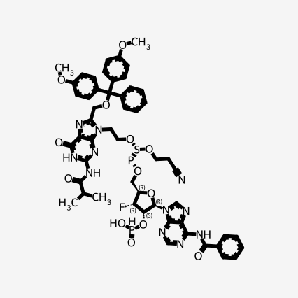 COc1ccc(C(OCc2nc3c(=O)[nH]c(NC(=O)C(C)C)nc3n2CCOS(OCCC#N)=POC[C@H]2O[C@@H](n3cnc4c(NC(=O)c5ccccc5)ncnc43)[C@H](O[PH](=O)O)[C@@H]2F)(c2ccccc2)c2ccc(OC)cc2)cc1